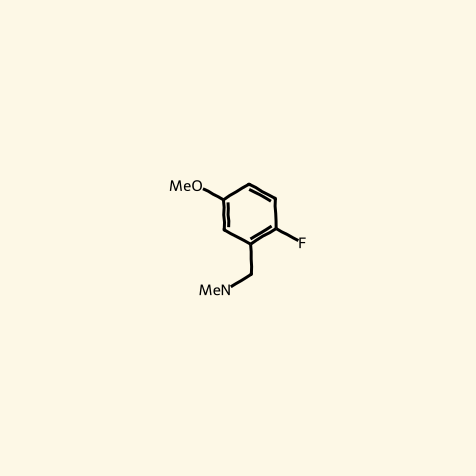 [CH2-][NH2+]Cc1cc(OC)ccc1F